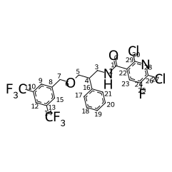 O=C(NCC(COCc1cc(C(F)(F)F)cc(C(F)(F)F)c1)c1ccccc1)c1cc(F)c(Cl)nc1Cl